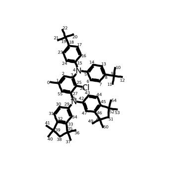 Cc1cc(N(c2ccc(C(C)(C)C)cc2)c2ccc(C(C)(C)C)cc2)c(Cl)c(N(c2ccc3c(c2)C(C)(C)CC3(C)C)c2ccc3c(c2)C(C)(C)CC3(C)C)c1